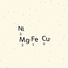 [Cu].[Fe].[Mg].[Ni]